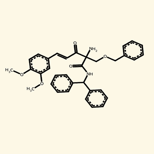 COc1ccc(/C=C/C(=O)C(N)(COCc2ccccc2)C(=O)NC(c2ccccc2)c2ccccc2)cc1OC